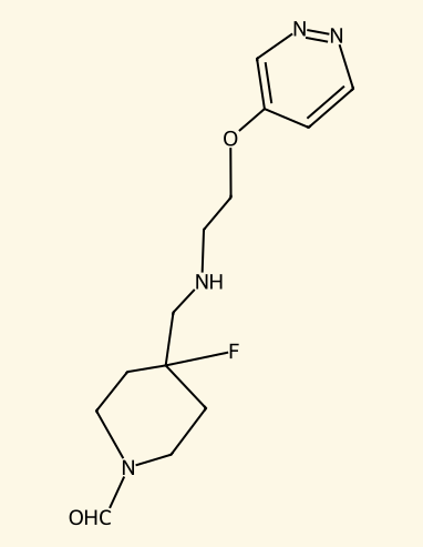 O=CN1CCC(F)(CNCCOc2ccnnc2)CC1